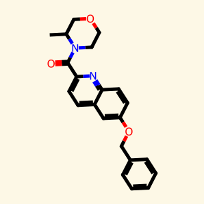 CC1COCCN1C(=O)c1ccc2cc(OCc3ccccc3)ccc2n1